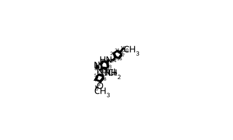 CCOc1ccc(-n2cnc3cc(NCc4ccc(CC)cc4)cc(N)c32)cc1.Cl